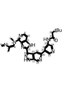 C=N/C(C)=C\N(C)c1nccc2[nH]c(-c3n[nH]c4cnc(-c5cncc(NC(=O)CC(C)(C)C)c5)cc34)nc12